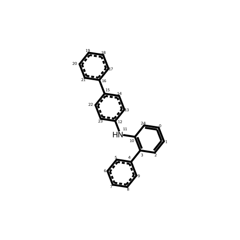 C1=C=CC(c2ccccc2)=C(Nc2ccc(-c3ccccc3)cc2)C=1